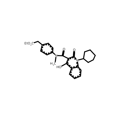 CCOC(=O)Cc1ccc(N(C)C(=O)c2c(O)c3ccccc3n(C3CCCCC3)c2=O)cc1